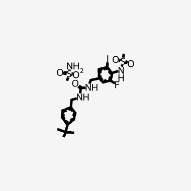 CC(C)(C)c1ccc(CNC(=O)NCc2cc(F)c(NS(C)(=O)=O)c(I)c2)cc1.CS(N)(=O)=O